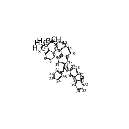 CC1(C)c2ccccc2-c2c(ccc3ccc4cc(N(c5ccccc5)c5ccc6sc7ccccc7c6c5)ccc4c23)C1(C)C